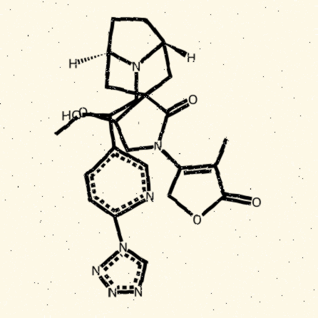 COC1CN(C2=C(C)C(=O)OC2)C(=O)C12C[C@H]1CC[C@H](C2)N1CC(O)c1ccc(-n2cnnn2)nc1